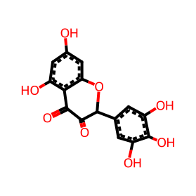 O=C1C(=O)C(c2cc(O)c(O)c(O)c2)Oc2cc(O)cc(O)c21